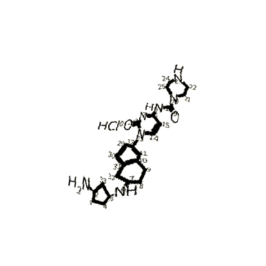 Cl.N[C@@H]1CC[C@@H](NC2CCc3cc(-n4ccc(NC(=O)N5CCNCC5)nc4=O)ccc3C2)C1